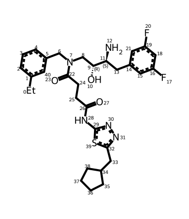 CCc1cccc(CN(C[C@@H](O)[C@@H](N)Cc2cc(F)cc(F)c2)C(=O)CCC(=O)Nc2nnc(CC3CCCC3)s2)c1